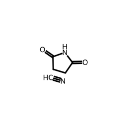 C#N.O=C1CCC(=O)N1